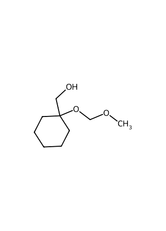 COCOC1(CO)CCCCC1